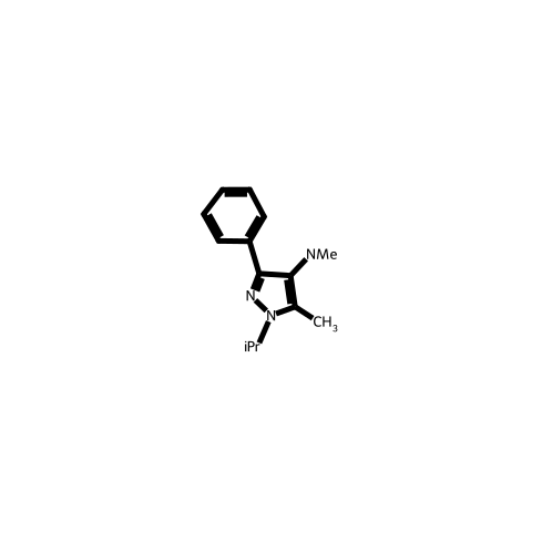 CNc1c(-c2ccccc2)nn(C(C)C)c1C